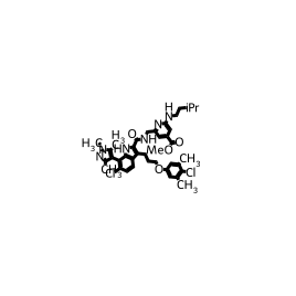 COC(=O)c1cc(CNC(=O)c2[nH]c3c(-c4c(C)nn(C)c4C)c(Cl)ccc3c2CCCOc2cc(C)c(Cl)c(C)c2)nc(NCCC(C)C)c1